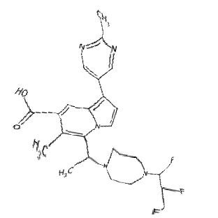 Cc1ncc(-c2ccn3c(C(C)N4CCN(C(F)C(F)F)CC4)c(C)c(C(=O)O)cc23)cn1